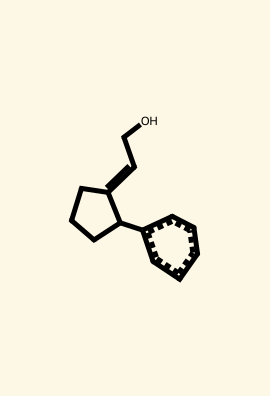 OCC=C1CCCC1c1ccccc1